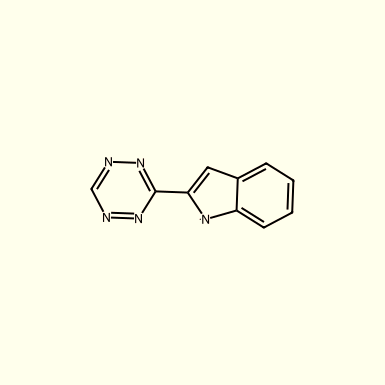 C1=C(c2nncnn2)[N]c2ccccc21